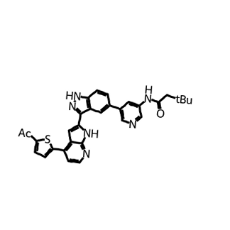 CC(=O)c1ccc(-c2ccnc3[nH]c(-c4n[nH]c5ccc(-c6cncc(NC(=O)CC(C)(C)C)c6)cc45)cc23)s1